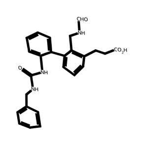 O=CNCc1c(CCC(=O)O)cccc1-c1ccccc1NC(=O)NCc1ccccc1